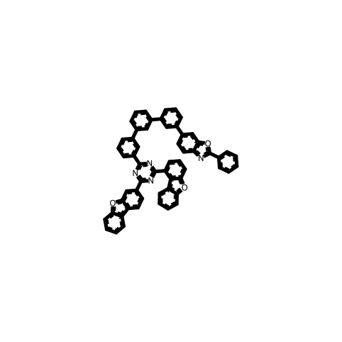 c1ccc(-c2nc3ccc(-c4cccc(-c5cccc(-c6cccc(-c7nc(-c8ccc9c(c8)oc8ccccc89)nc(-c8cccc9oc%10ccccc%10c89)n7)c6)c5)c4)cc3o2)cc1